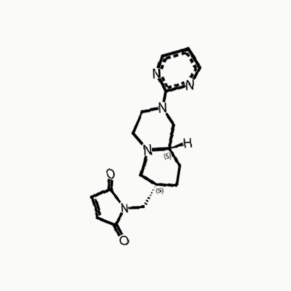 O=C1C=CC(=O)N1C[C@H]1CC[C@H]2CN(c3ncccn3)CCN2C1